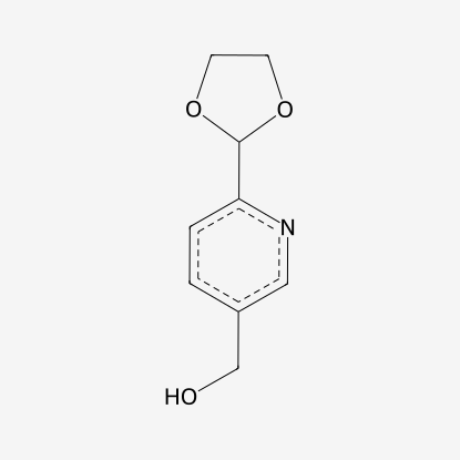 OCc1ccc(C2OCCO2)nc1